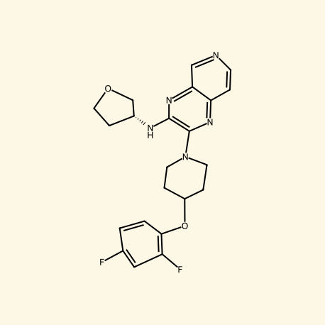 Fc1ccc(OC2CCN(c3nc4ccncc4nc3N[C@@H]3CCOC3)CC2)c(F)c1